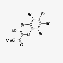 CCC=C(Oc1c(Br)c(Br)c(Br)c(Br)c1Br)C(=O)OC